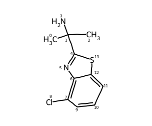 CC(C)(N)c1nc2c(Cl)cccc2s1